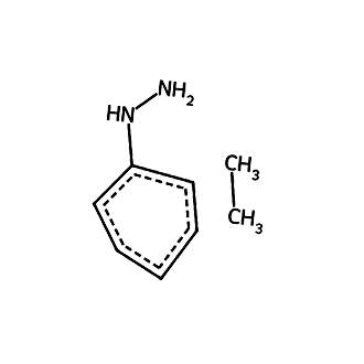 CC.NNc1ccccc1